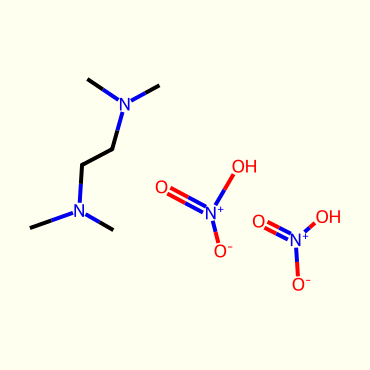 CN(C)CCN(C)C.O=[N+]([O-])O.O=[N+]([O-])O